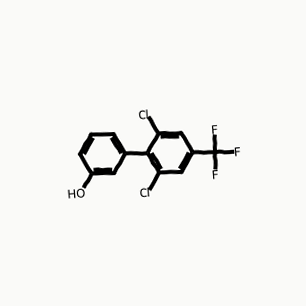 Oc1cccc(-c2c(Cl)cc(C(F)(F)F)cc2Cl)c1